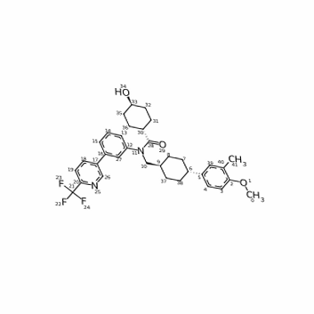 COc1ccc([C@H]2CC[C@H](CN(c3cccc(-c4ccc(C(F)(F)F)nc4)c3)C(=O)[C@H]3CC[C@H](O)CC3)CC2)cc1C